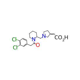 O=C(O)/C=C1/CCN(CC2CCCCN2C(=O)Cc2ccc(Cl)c(Cl)c2)C1